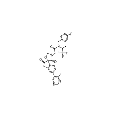 Cc1ncncc1-c1ccc2c(c1)CC(=O)[C@]21OCN(CC(=O)N(Cc2ccc(F)cc2)[C@@H](C)C(F)(F)F)C1=O